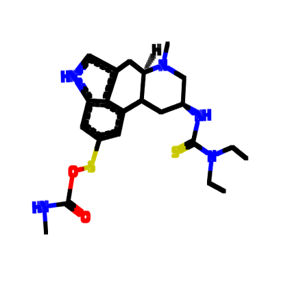 CCN(CC)C(=S)N[C@H]1CC2c3cc(SOC(=O)NC)cc4[nH]cc(c34)C[C@H]2N(C)C1